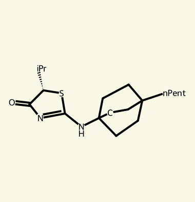 CCCCCC12CCC(NC3=NC(=O)[C@H](C(C)C)S3)(CC1)CC2